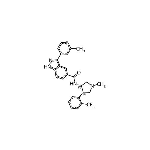 Cc1cc(-c2n[nH]c3ncc(C(=O)N[C@@H]4CN(C)C[C@H]4c4ccccc4C(F)(F)F)cc23)ccn1